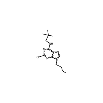 CCCCn1cnc2c(NCC(C)(C)C)nc(Cl)nc21